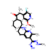 CN/N=C(\N=N)c1cc2c(nc1C)N[C@@]1(CCCC(C(=O)[C@H](C)c3cc(OC)ncc3F)CC1)CC2